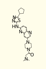 CN(C)CC(=O)N1CCN(c2cnc3ccc(Nc4nnc(C5CCCC5)s4)nc3c2)CC1